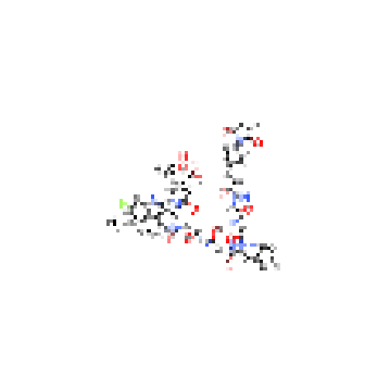 CC[C@@]1(O)C(=O)OCc2c1cc1n(c2=O)Cc2c-1nc1cc(F)c(C)c3c1c2[C@]1(NC(=O)COCNC(=O)CNC(=O)[C@H](Cc2ccccc2)NC(=O)CNC(=O)CNC(=O)CCc2ccc(N4C(=O)C=CC4=O)cc2)CC1C3